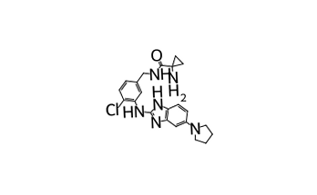 NC1(C(=O)NCc2ccc(Cl)c(Nc3nc4cc(N5CCCC5)ccc4[nH]3)c2)CC1